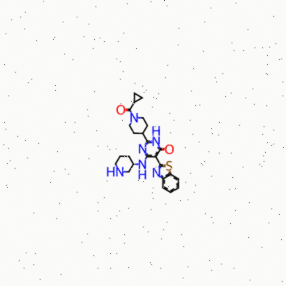 O=C(C1CC1)N1CCC(c2nc(N[C@@H]3CCCNC3)c(-c3nc4ccccc4s3)c(=O)[nH]2)CC1